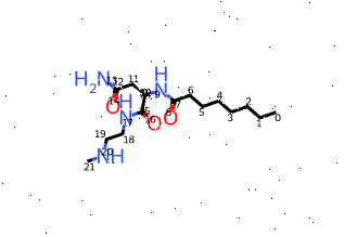 CCCCCCCC(=O)N[C@H](CC(N)=O)C(=O)NCCNC